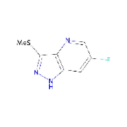 CSc1n[nH]c2cc(F)cnc12